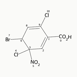 O=C(O)C1=CC(Cl)([N+](=O)[O-])C(Br)C=C1Cl